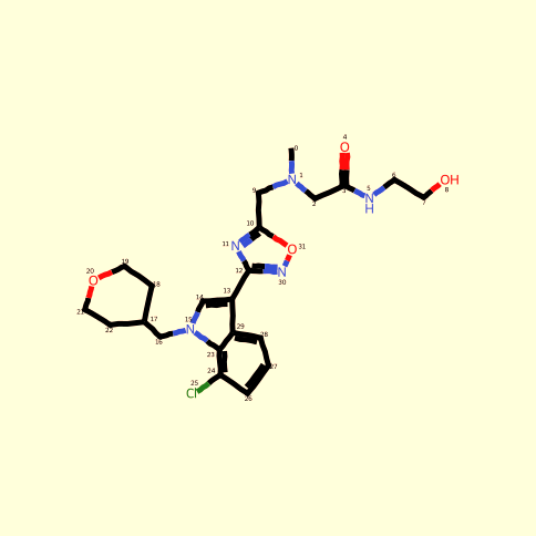 CN(CC(=O)NCCO)Cc1nc(-c2cn(CC3CCOCC3)c3c(Cl)cccc23)no1